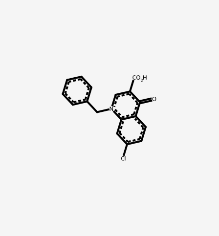 O=C(O)c1cn(Cc2ccccc2)c2cc(Cl)ccc2c1=O